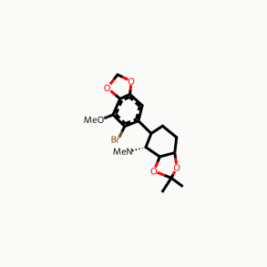 CN[C@@H]1C(c2cc3c(c(OC)c2Br)OCO3)CCC2OC(C)(C)OC21